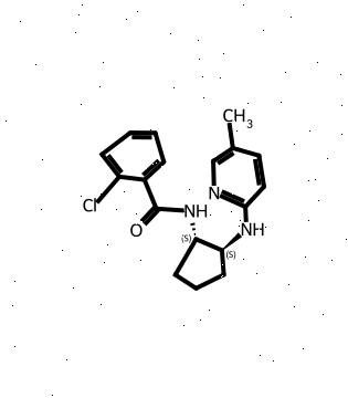 Cc1ccc(N[C@H]2CCC[C@@H]2NC(=O)c2ccccc2Cl)nc1